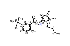 COCCn1c(C)c(C)s/c1=N\C(=O)c1cc(C(F)(F)F)ccc1F